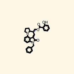 O=C(O/C=C1\C=C2C(=O)N(Cc3ccccc3)c3cccc(c32)N2CCCC12)c1ccccc1O